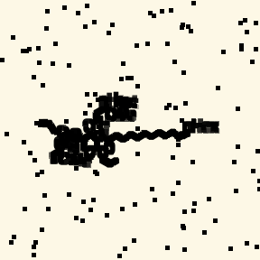 C=CCOP(=O)(OCC=C)O[C@H]1C(OCC[C@@H](CCCCCCC)OC)[C@@H](NC(=O)CCCCCCCCC/C=C\CCCCCC)C(O/C=C\C)O[C@@H]1COC